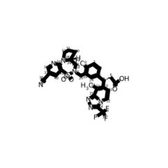 Cc1ccc([C@H](CC(=O)O)c2ccn3c(C(F)(F)F)nnc3c2C)cc1CN1C[C@H]2CCCN2c2ncc(C#N)cc2S1(=O)=O